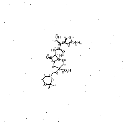 CC1(C)OCCC(CSC2(C(=O)O)CS[C@@H]3C(NC(=O)C(=NO)c4csc(N)n4)C(=O)N3C2)O1